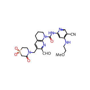 COCCNc1cc(NC(=O)N2CCCc3cc(CN4CCS(=O)(=O)CC4=O)c(C=O)nc32)ncc1C#N